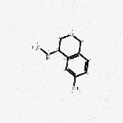 CN[C@H]1COCc2ccc(C)cc21